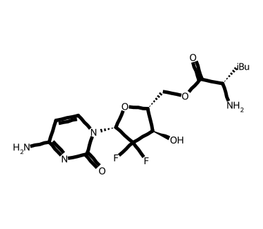 CCC(C)[C@H](N)C(=O)OC[C@H]1O[C@@H](n2ccc(N)nc2=O)C(F)(F)[C@@H]1O